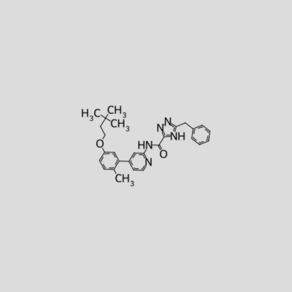 Cc1ccc(OCCC(C)(C)C)cc1-c1ccnc(NC(=O)c2nnc(Cc3ccccc3)[nH]2)c1